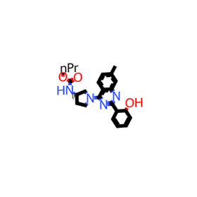 CCCOC(=O)N[C@@H]1CCN(c2nc(C3C=CC=CC3O)nc3cc(C)ccc23)C1